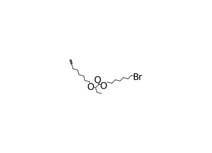 C#CCCCCCCOC(CC)C(=O)OCCCCCCCBr